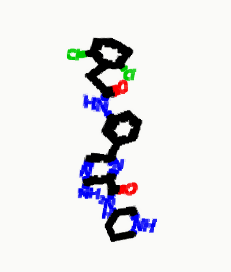 Nc1ncc(-c2cccc(NC(=O)Cc3c(Cl)cccc3Cl)c2)nc1C(=O)N[C@H]1CCCNC1